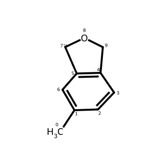 Cc1ccc2c(c1)[C]OC2